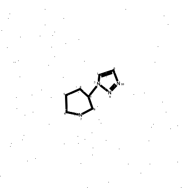 c1cn(C2CCC[N]C2)nn1